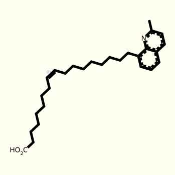 Cc1ccc2cccc(CCCCCCCC/C=C\CCCCCCCC(=O)O)c2n1